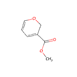 COC(=O)C1=CC=COC1